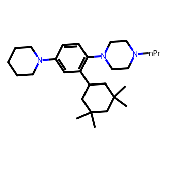 CCCN1CCN(c2ccc(N3CCCCC3)cc2C2CC(C)(C)CC(C)(C)C2)CC1